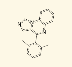 Cc1cccc(C)c1-c1nc2ccccc2n2cncc12